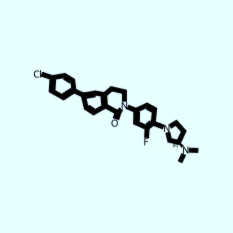 CN(C)[C@@H]1CCN(c2ccc(N3CCc4cc(-c5ccc(Cl)cc5)ccc4C3=O)cc2F)C1